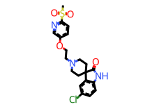 CS(=O)(=O)c1ccc(OCCN2CCC3(CC2)C(=O)Nc2ccc(Cl)cc23)cn1